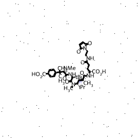 CN[C@H](C(=O)N[C@H](C(=O)N(C)[C@H](/C=C(\C)C(=O)N[C@H](CCC(=O)NCCN1C(=O)C=CC1=O)C(=O)O)C(C)C)C(C)(C)C)C(C)(C)c1ccc(C(=O)O)cc1